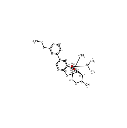 CCCc1cncc(-c2ccc3c(c2)C2(N=C(N)N(C(C)C)C2=O)C2(CCC(O)CC2)C3)c1